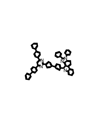 c1ccc(-c2ccc(-c3cc(-c4ccc(-c5ccccc5)cc4)nc(-c4ccc(-c5ccc(-c6nc7ccccc7c7ccc8c(nc(-c9ccccc9)n8-c8ccccc8)c67)cc5)cc4)n3)cc2)cc1